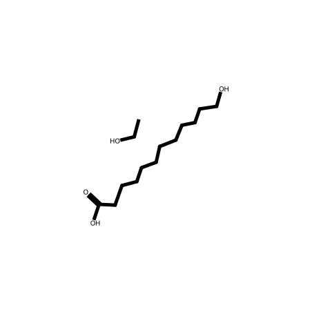 CCO.O=C(O)CCCCCCCCCCCO